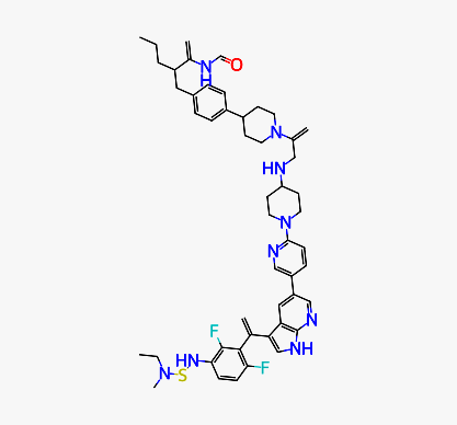 C=C(c1c(F)ccc(NSN(C)CC)c1F)c1c[nH]c2ncc(-c3ccc(N4CCC(NCC(=C)N5CCC(c6ccc(CC(CCC)C(=C)NC=O)cc6)CC5)CC4)nc3)cc12